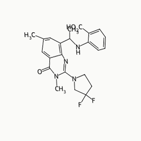 Cc1cc(C(C)Nc2ccccc2C(=O)O)c2nc(N3CCC(F)(F)C3)n(C)c(=O)c2c1